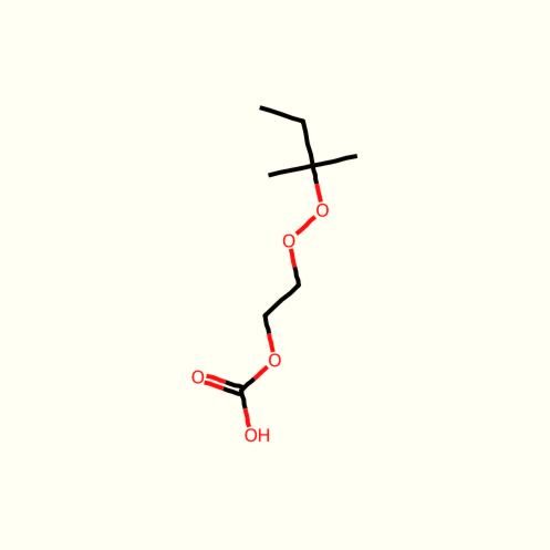 CCC(C)(C)OOCCOC(=O)O